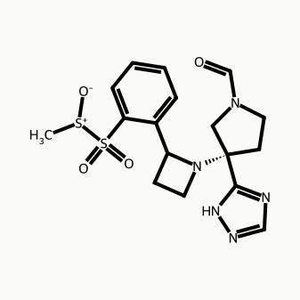 C[S+]([O-])S(=O)(=O)c1ccccc1C1CCN1[C@@]1(c2ncn[nH]2)CCN(C=O)C1